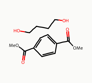 COC(=O)c1ccc(C(=O)OC)cc1.OCCCCO